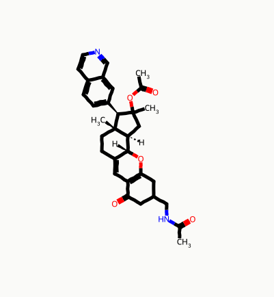 CC(=O)NCC1CC(=O)C2=C(C1)O[C@@H]1C(=C2)CC[C@@]2(C)[C@H]1CC(C)(OC(C)=O)[C@@H]2c1ccc2ccncc2c1